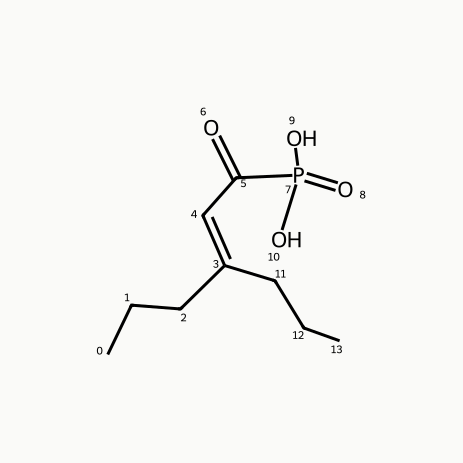 CCCC(=CC(=O)P(=O)(O)O)CCC